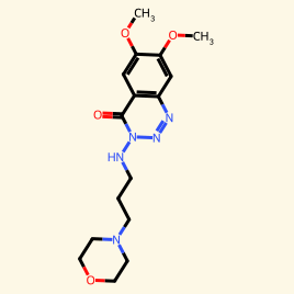 COc1cc2nnn(NCCCN3CCOCC3)c(=O)c2cc1OC